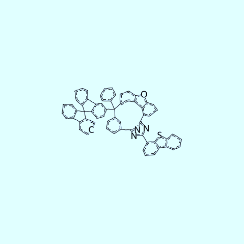 c1ccc(C2(c3ccc4c(c3)-c3ccccc3C43c4ccccc4-c4ccccc43)c3cccc(c3)-c3nc(-c4cccc5c4sc4ccccc45)nc(n3)-c3cccc4oc5ccc2cc5c34)cc1